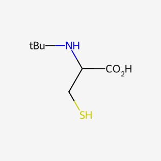 CC(C)(C)NC(CS)C(=O)O